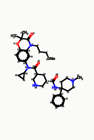 COCCCN1C(=O)C(C)(C)Oc2ccc(N(C(=O)C3CNC[C@@H](C(=O)NC4(c5ccccc5)CCN(C)CC4)C3)C3CC3)cc21